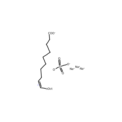 CCCCCCCC/C=C\CCCCCCCC(=O)[O-].O=S(=O)([O-])[O-].[Na+].[Na+].[Na+]